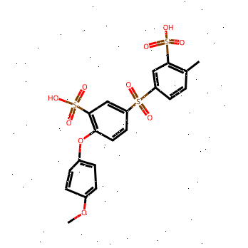 COc1ccc(Oc2ccc(S(=O)(=O)c3ccc(C)c(S(=O)(=O)O)c3)cc2S(=O)(=O)O)cc1